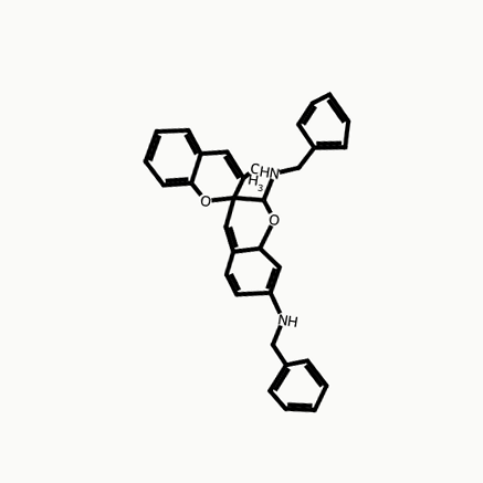 CC1=Cc2ccccc2OC12C=C1C=CC(NCc3ccccc3)=CC1OC2NCc1ccccc1